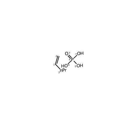 C=CCCC.O=P(O)(O)O